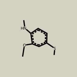 CNc1ccc(SC)cc1OC